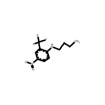 CCCCNc1ccc([N+](=O)[O-])cc1C(F)(F)F